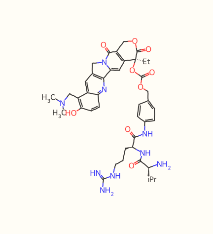 CC[C@@]1(OC(=O)OCc2ccc(NC(=O)[C@H](CCCNC(=N)N)NC(=O)[C@@H](N)C(C)C)cc2)C(=O)OCc2c1cc1n(c2=O)Cc2cc3c(CN(C)C)c(O)ccc3nc2-1